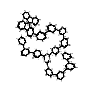 c1ccc(-c2cccc(-c3ccc(C4=NC(c5cccc(-c6cccc(-c7cccc(-c8ccccc8)c7)c6)c5)=NC(c5ccc(-c6cccc(-c7cccc(-c8cccc(-c9cccc(-c%10ccc%11c(c%10)C%10(c%12ccccc%12-c%12ccccc%12%10)c%10ccccc%10-%11)c9)c8)c7)c6)cc5)N4)cc3)c2)cc1